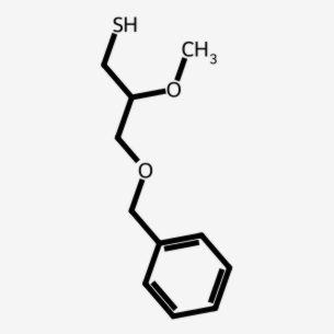 COC(CS)COCc1ccccc1